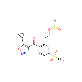 CS(=O)(=O)c1ccc(C(=O)c2cnoc2C2CC2)c(CCO[SH](=O)=O)c1